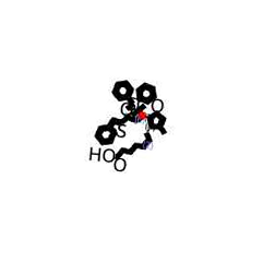 CC1=CC(=O)[C@H](/C=C/[C@@H](O[Si](c2ccccc2)(c2ccccc2)C(C)(C)C)c2cc3ccccc3s2)[C@H]1C/C=C\CCCC(=O)O